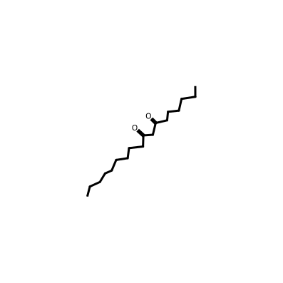 CCCCCCCCCC(=O)CC(=O)CCCCCC